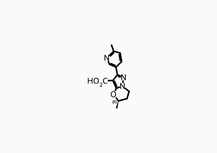 Cc1ccc(-c2nn3c(c2C(=O)O)O[C@H](C)CC3)cn1